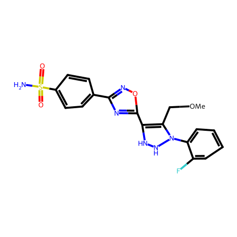 COCC1=C(c2nc(-c3ccc(S(N)(=O)=O)cc3)no2)NNN1c1ccccc1F